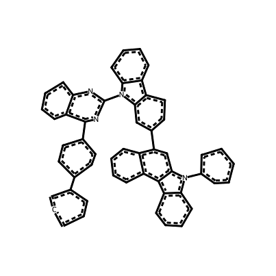 c1ccc(-c2ccc(-c3nc(-n4c5ccccc5c5ccc(-c6cc7c(c8ccccc68)c6ccccc6n7-c6ccccc6)cc54)nc4ccccc34)cc2)cc1